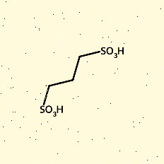 O=S(=O)(O)[CH]CCS(=O)(=O)O